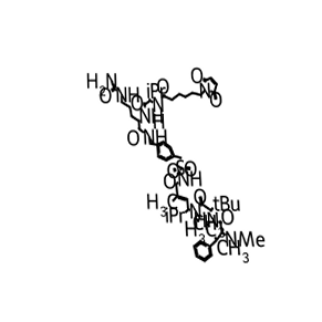 CNC(C(=O)NC(C(=O)N(C)C(C=C(C)C(=O)NS(=O)(=O)Cc1ccc(CNC(=O)C(CCCNC(N)=O)NC(=O)C(NC(=O)CCCCCN2C(=O)C=CC2=O)C(C)C)cc1)C(C)C)C(C)(C)C)C(C)(C)c1ccccc1